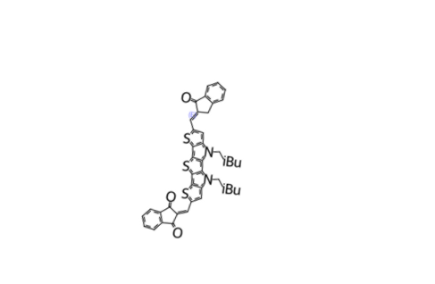 CCC(C)Cn1c2cc(C=C3C(=O)c4ccccc4C3=O)sc2c2sc3c4sc(/C=C5\Cc6ccccc6C5=O)cc4n(CC(C)CC)c3c21